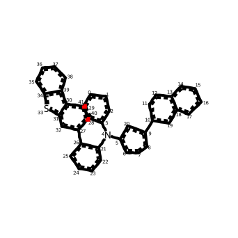 c1ccc(N(c2cccc(-c3ccc4ccccc4c3)c2)c2ccccc2-c2ccc3c(c2)sc2ccccc23)cc1